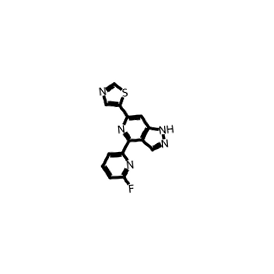 Fc1cccc(-c2nc(-c3cncs3)cc3[nH]ncc23)n1